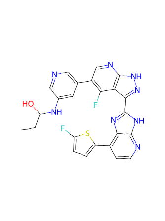 CCC(O)Nc1cncc(-c2cnc3[nH]nc(-c4nc5c(-c6ccc(F)s6)ccnc5[nH]4)c3c2F)c1